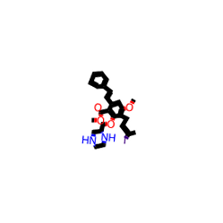 COC(=O)c1c(/C=C/c2ccccc2)cc(OC)c(C/C=C(\C)I)c1OCC1CNCCN1